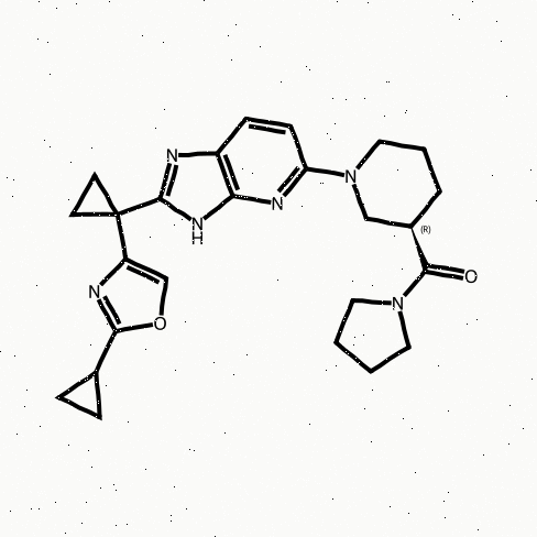 O=C([C@@H]1CCCN(c2ccc3nc(C4(c5coc(C6CC6)n5)CC4)[nH]c3n2)C1)N1CCCC1